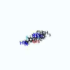 CN(c1nnc(-c2cc(F)c(-c3cn[nH]c3)cc2O)cc1F)C1C[C@]2(C)CC[C@](C)(C1)N2